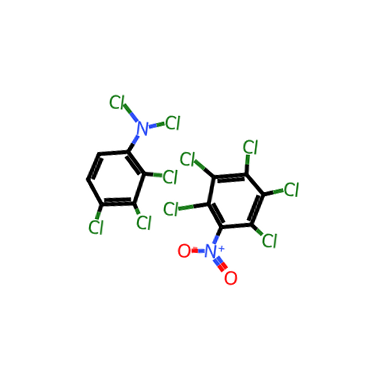 Clc1ccc(N(Cl)Cl)c(Cl)c1Cl.O=[N+]([O-])c1c(Cl)c(Cl)c(Cl)c(Cl)c1Cl